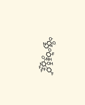 COc1cc2nccc(Oc3ccc(NC(=O)c4cnc(C(F)(F)F)c(-c5ccc(F)cc5)c4O)cc3F)c2nc1OC